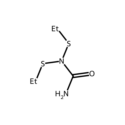 CCSN(SCC)C(N)=O